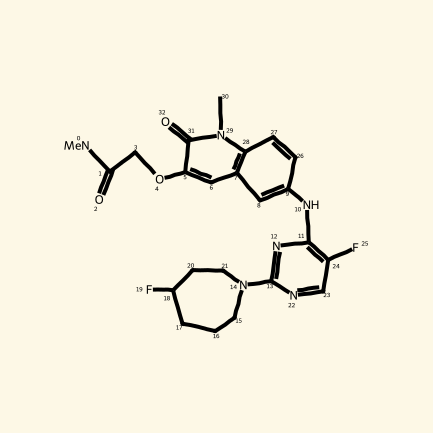 CNC(=O)COc1cc2cc(Nc3nc(N4CCCC(F)CC4)ncc3F)ccc2n(C)c1=O